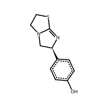 Oc1ccc([C@H]2CN3CCSC3=N2)cc1